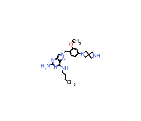 CCCCNc1nc(N)nc2cn(Cc3ccc(N4CC5(CNC5)C4)cc3OC)nc12